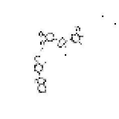 COc1ccc(-c2cc(-c3cc(C)c(C)c(OC)c3)no2)cc1OCCCOc1ccc(-c2nc3ccccc3s2)cc1C